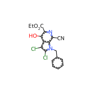 CCOC(=O)c1nc(C#N)c2c(c1O)c(Cl)c(Cl)n2Cc1ccccc1